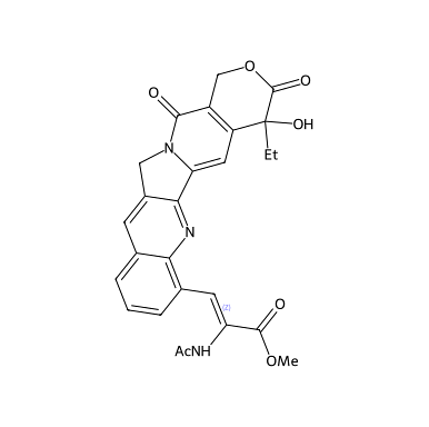 CCC1(O)C(=O)OCc2c1cc1n(c2=O)Cc2cc3cccc(/C=C(\NC(C)=O)C(=O)OC)c3nc2-1